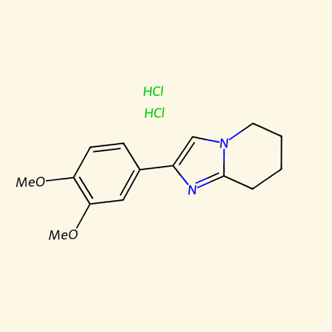 COc1ccc(-c2cn3c(n2)CCCC3)cc1OC.Cl.Cl